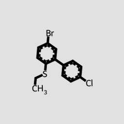 CCSc1ccc(Br)cc1-c1ccc(Cl)cc1